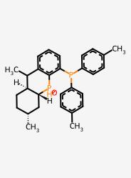 Cc1ccc(P(c2ccc(C)cc2)c2cccc3c2[PH](=O)[C@@H]2C[C@H](C)CC[C@H]2C3C)cc1